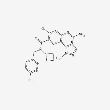 Cn1ncc2c(N)nc3cc(Cl)c(C(=O)N(Cc4ccc(C(F)(F)F)nn4)C4CCC4)cc3c21